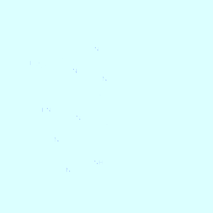 Nc1nc(S[C@H](C(=O)Nc2nccc(C(=O)O)n2)c2ccc(F)cc2)c2[nH]cnc2n1